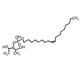 CCCCCCCC/C=C\CCCCCCCCOP(=O)(O)ON(C(C)O)C(C)O